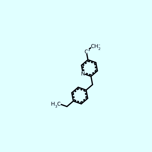 [CH2-][CH+]c1ccc(Cc2ccc(CC)cc2)nc1